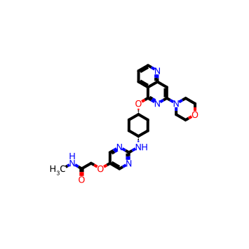 CNC(=O)COc1cnc(N[C@H]2CC[C@@H](Oc3nc(N4CCOCC4)cc4ncccc34)CC2)nc1